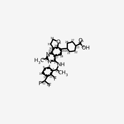 Cc1nc(NC(C)c2cccc(C(F)F)c2F)c2cc(C3CCC(C(=O)O)CC3)c3c(c2n1)CCO3